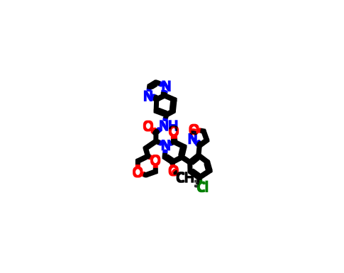 COc1cn(C(CC2COCCO2)C(=O)Nc2ccc3nccnc3c2)c(=O)cc1-c1cc(Cl)ccc1C1=NOCC1